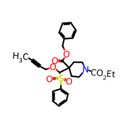 CC#CCOC(C1(C(=O)OCc2ccccc2)CCN(C(=O)OCC)CC1)S(=O)(=O)c1ccccc1